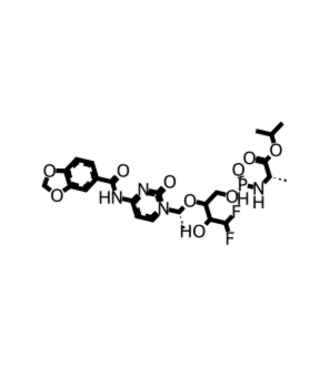 CC(C)OC(=O)[C@H](C)N[PH](=O)OCC(O[C@H](C)n1ccc(NC(=O)c2ccc3c(c2)OCO3)nc1=O)C(O)C(F)F